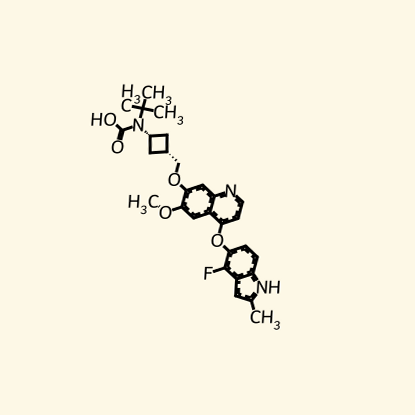 COc1cc2c(Oc3ccc4[nH]c(C)cc4c3F)ccnc2cc1OC[C@H]1C[C@@H](N(C(=O)O)C(C)(C)C)C1